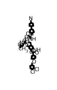 Cc1cc(C(=O)N2Cc3cc4c(cc3C[C@H]2C(=O)N[C@@H](Cc2ccc(-c3ccc(C#N)cc3)cc2)C(=O)O)NC(=O)C(c2ccc(OCc3ccc(Cl)c(Cl)c3)cc2)O4)no1